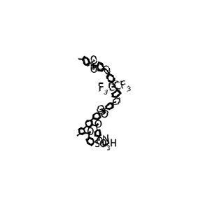 Cc1ccc(S(=O)(=O)c2ccc(Oc3ccc(C(c4ccc(Oc5ccc(S(=O)(=O)c6ccc(-c7ccc(-c8ccc(C)cc8C(=O)c8cccc(S(=O)(=O)O)c8)cc7C(=O)c7ccc(Oc8ccccn8)cc7)cc6)cc5)cc4)(C(F)(F)F)C(F)(F)F)cc3)cc2)cc1